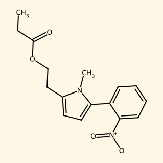 CCC(=O)OCCc1ccc(-c2ccccc2[N+](=O)[O-])n1C